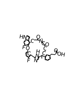 CN1CC(=O)CCCC(C)(c2cccc(CCC(=O)O)c2)c2cnc([nH]2)-c2cc(ccc2F)Oc2c(F)cc3[nH]ccc3c2CCC1=O